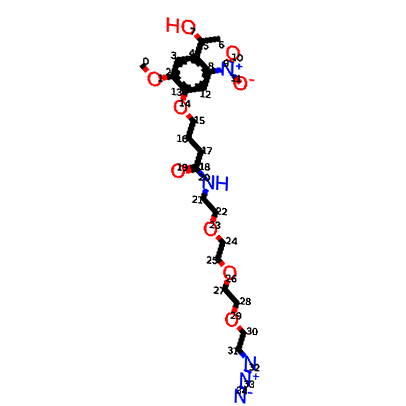 COc1cc(C(C)O)c([N+](=O)[O-])cc1OCCCC(=O)NCCOCCOCCOCCN=[N+]=[N-]